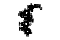 Nc1ccc(-c2cc3c(c(S(=O)(=O)N[C@@H](CO)Cc4c[nH]c5ccccc45)c2)OCC3)s1